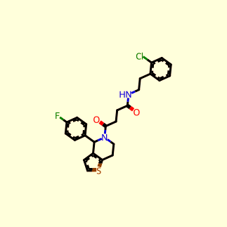 O=C(CCC(=O)N1CCc2sccc2C1c1ccc(F)cc1)NCCc1ccccc1Cl